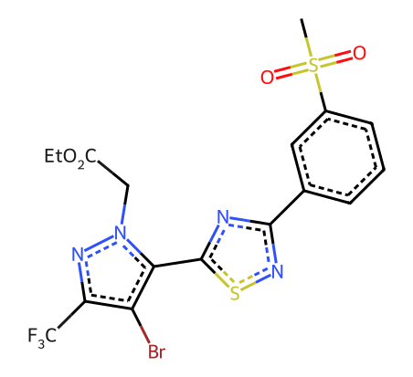 CCOC(=O)Cn1nc(C(F)(F)F)c(Br)c1-c1nc(-c2cccc(S(C)(=O)=O)c2)ns1